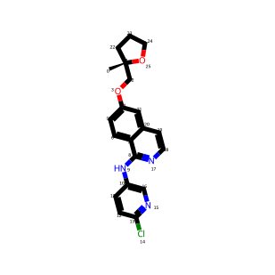 C[C@@]1(COc2ccc3c(Nc4ccc(Cl)nc4)nccc3c2)CCCO1